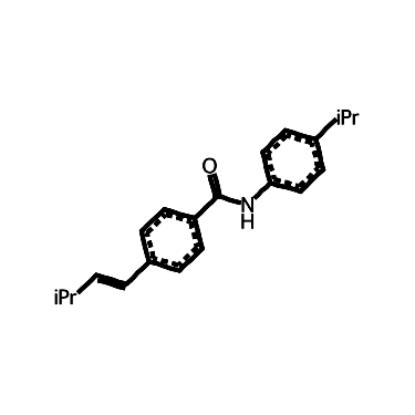 CC(C)/C=C/c1ccc(C(=O)Nc2ccc(C(C)C)cc2)cc1